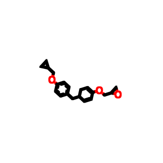 C1=CC(Cc2ccc(OCC3CC3)cc2)CC=C1OCC1CO1